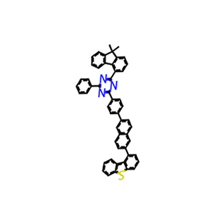 CC1(C)c2ccccc2-c2c(-c3nc(-c4ccccc4)nc(-c4ccc(-c5ccc6cc(-c7cccc8sc9ccccc9c78)ccc6c5)cc4)n3)cccc21